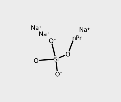 CCCO[Si]([O-])([O-])[O-].[Na+].[Na+].[Na+]